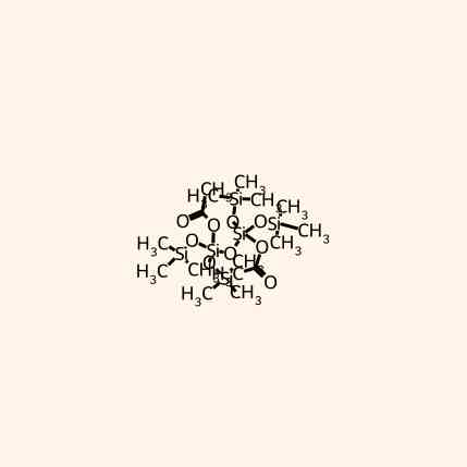 CC(=O)O[Si](O[Si](C)(C)C)(O[Si](C)(C)C)O[Si](OC(C)=O)(O[Si](C)(C)C)O[Si](C)(C)C